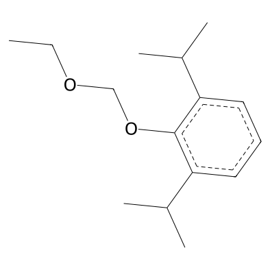 CCOCOc1c(C(C)C)cccc1C(C)C